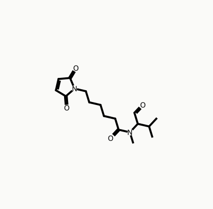 CC(C)C(C=O)N(C)C(=O)CCCCCN1C(=O)C=CC1=O